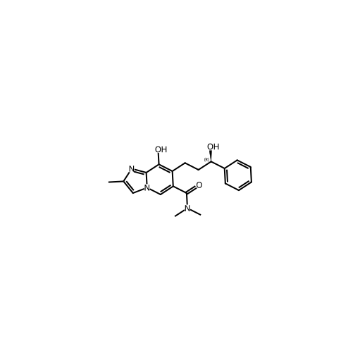 Cc1cn2cc(C(=O)N(C)C)c(CC[C@@H](O)c3ccccc3)c(O)c2n1